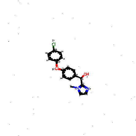 Cn1ccnc1C(O)c1ccc(Oc2ccc(Cl)cc2)cc1